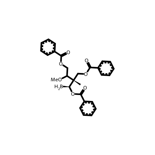 B[C@H](OC(=O)c1ccccc1)[C@@](C)(COC(=O)c1ccccc1)C(COC(=O)c1ccccc1)OC